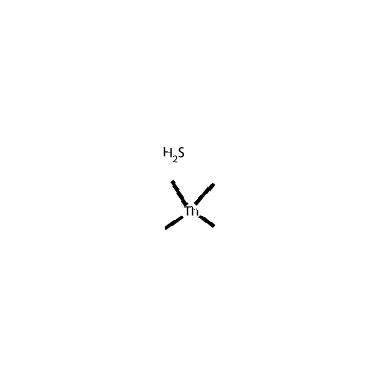 S.[CH3][Th]([CH3])([CH3])[CH3]